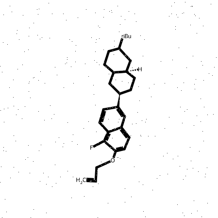 C=CCOc1ccc2cc([C@@H]3CC[C@@H]4CC(CCCC)CCC4C3)ccc2c1F